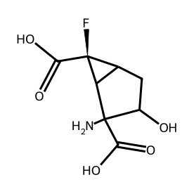 NC1(C(=O)O)C(O)CC2C1[C@]2(F)C(=O)O